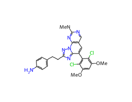 CNc1ncc2cc(-c3c(Cl)c(OC)cc(OC)c3Cl)c3nc(CCc4ccc(N)cc4)nn3c2n1